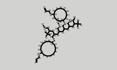 C=CCSC1CCCCCCCC(SCC(CC(CSC)CC(CSC2CCCCCCCC(SCC=C)CCC2)CC(CS)CC(CC)C(C)(C)C)CC(CSC)C(C)(C)C)CCCCC1